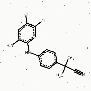 CC(C)(C#N)c1ccc(Nc2cc(Cl)c(Cl)cc2N)cc1